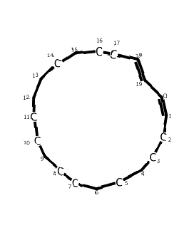 C1=C\CCCCCCCCCCCCCCCC/C=C/1